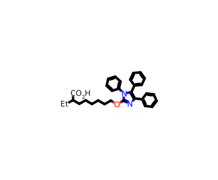 CCC(CCCCCCOc1nc(-c2ccccc2)c(-c2ccccc2)n1-c1ccccc1)C(=O)O